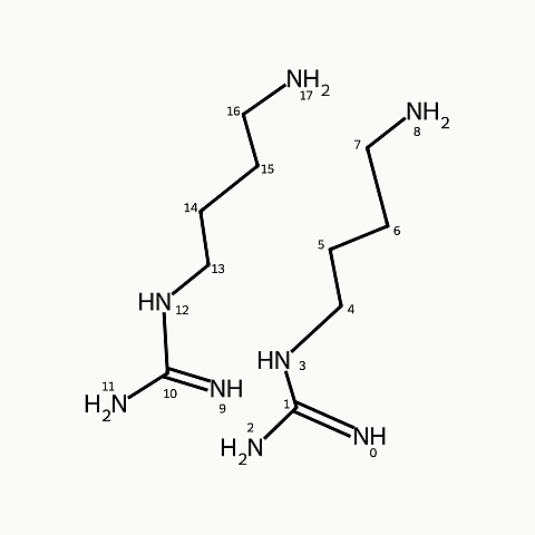 N=C(N)NCCCCN.N=C(N)NCCCCN